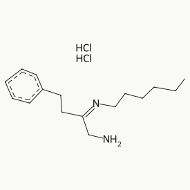 CCCCCCN=C(CN)CCc1ccccc1.Cl.Cl